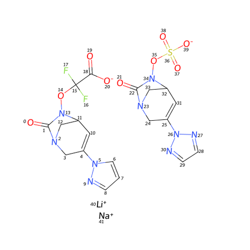 O=C1N2CC(n3cccn3)=CC(C2)N1OC(F)(F)C(=O)[O-].O=C1N2CC(n3nccn3)=CC(C2)N1OS(=O)(=O)[O-].[Li+].[Na+]